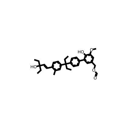 CCC(O)(/C=C/c1ccc(C(CC)(CC)c2ccc(-c3cc(COC=O)cc(OC)c3O)cc2)cc1C)CC